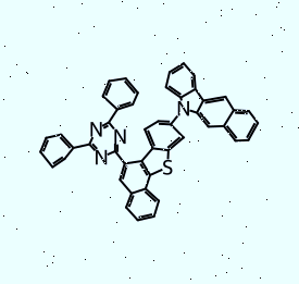 c1ccc(-c2nc(-c3ccccc3)nc(-c3cc4ccccc4c4sc5cc(-n6c7ccccc7c7cc8ccccc8cc76)ccc5c34)n2)cc1